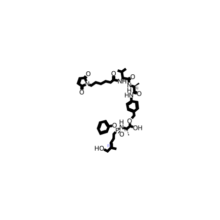 C/C(=C\CCP(=O)(N[C@@H](C)C(O)OCc1ccc(NC(=O)[C@H](C)NC(=O)[C@@H](NC(=O)CCCCCN2C(=O)C=CC2=O)C(C)C)cc1)Oc1ccccc1)CO